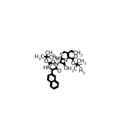 C=CC1=C(C(=O)OC(C)(C)C)N2C(=O)[C@@H](NC(=O)C(NC(=O)OC(C)(C)C)c3ccc4ccccc4c3)[C@H]2SC1